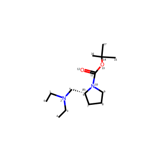 CCN(CC)C[C@H]1CCCN1C(=O)OC(C)(C)C